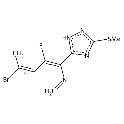 C=N/C(=C(F)\C=C(/C)Br)c1nc(SC)n[nH]1